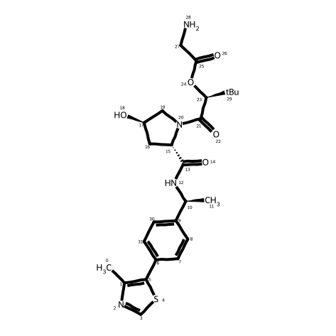 Cc1ncsc1-c1ccc([C@H](C)NC(=O)[C@@H]2C[C@@H](O)CN2C(=O)[C@@H](OC(=O)CN)C(C)(C)C)cc1